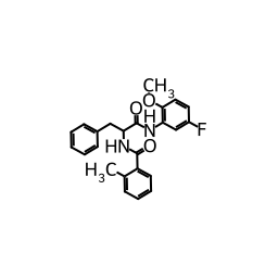 COc1ccc(F)cc1NC(=O)C(Cc1ccccc1)NC(=O)c1ccccc1C